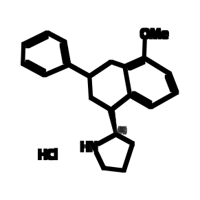 COc1cccc2c1CC(c1ccccc1)CC2[C@H]1CCCN1.Cl